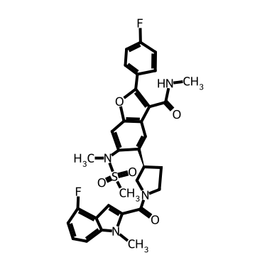 CNC(=O)c1c(-c2ccc(F)cc2)oc2cc(N(C)S(C)(=O)=O)c([C@H]3CCN(C(=O)c4cc5c(F)cccc5n4C)C3)cc12